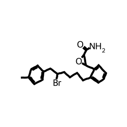 Cc1ccc(CC(Br)CCCCc2ccccc2C2OC2C(N)=O)cc1